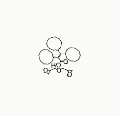 C(OCC1CO1)C1CO1.O=C(O)C(=C(C1CCCCCCCCC1)C1CCCCCCCCC1)C1CCCCCCCCC1